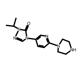 CC(C)n1ncn(-c2ccc(N3CCNCC3)nc2)c1=O